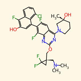 CN(C)C[C@@]1(COc2nc(N3CCC[C@@](C)(O)C3)c3cc(F)c(-c4cc(O)c(F)c5cccc(Cl)c45)c(F)c3n2)CC1(F)F